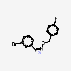 Fc1ccc(CO/N=[C]\c2cccc(Br)c2)cc1